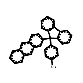 Oc1ccc(C2(c3ccc4cc5ccccc5cc4c3)c3ccccc3-c3ccccc32)cc1